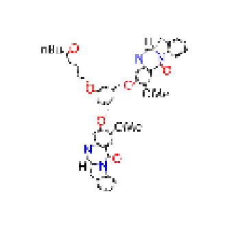 CCCCC(=O)CCCCOc1cc(COc2cc3c(cc2OC)C(=O)N2c4ccccc4C[C@H]2C=N3)cc(COc2cc3c(cc2OC)C(=O)N2c4ccccc4C[C@H]2C=N3)c1